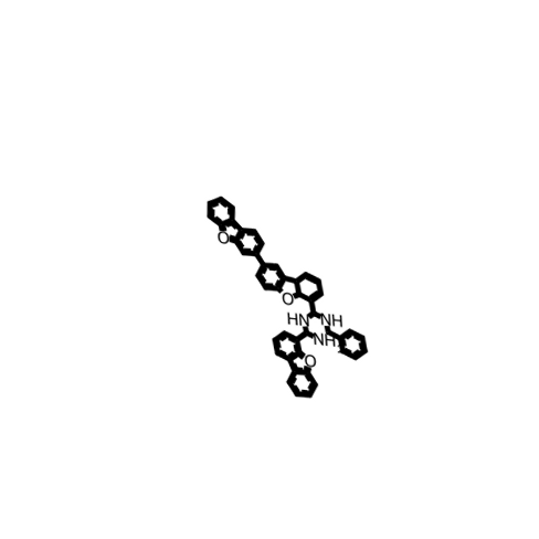 NC(NC(NCc1ccccc1)C1=CC=CC2c3cc(-c4ccc5c(c4)oc4ccccc45)ccc3OC12)c1cccc2c1oc1ccccc12